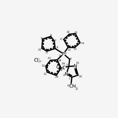 CC1=NC(C[P+](c2ccccc2)(c2ccccc2)c2ccccc2)(C(Cl)(Cl)Cl)N=C1.[Cl-]